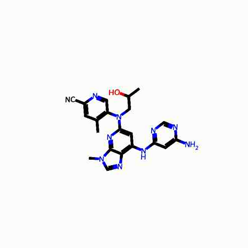 Cc1cc(C#N)ncc1N(CC(C)O)c1cc(Nc2cc(N)ncn2)c2ncn(C)c2n1